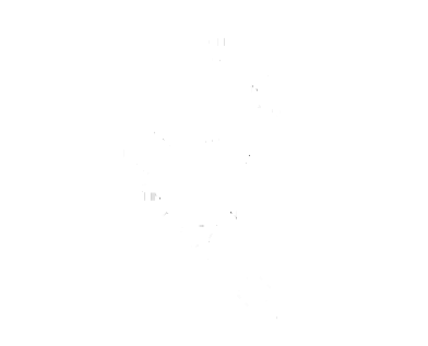 COCCN(CCOC)C(=O)CO[C@H]1/C=C/C[C@H](C)[C@@H](C)S(=O)(=O)NC(=O)c2ccc3c(c2)N(CCCCc2cc(Cl)ccc2CO3)C[C@@H]2CC[C@H]21